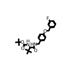 CC(C)(C)OC(=O)N[C@@H](C(=O)NCc1ccc(OCc2cccc(F)c2)cc1)C(C)(C)C